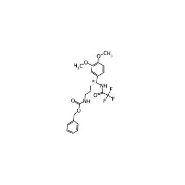 COc1ccc([C@@H](CCCNC(=O)OCc2ccccc2)NC(=O)C(F)(F)F)cc1OC